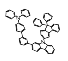 c1ccc(N(c2ccccc2)c2ccc(-c3cccc(-c4ccc5c6ccccc6n(-c6ccc7c(c6)-c6ccccc6C7(c6ccccc6)c6ccccc6)c5c4)c3)cc2)cc1